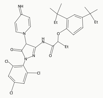 CCC(Oc1ccc(C(C)(C)CC)cc1C(C)(C)CC)C(=O)NC1=NN(c2c(Cl)cc(Cl)cc2Cl)C(=O)C1n1ccc(=N)cc1